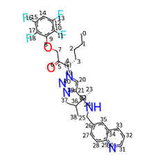 CCCC[C@@H](C(=O)COc1c(F)c(F)cc(F)c1F)n1cc([C@@](C)(NCc2ccc3ncccc3c2)C(C)C)nn1